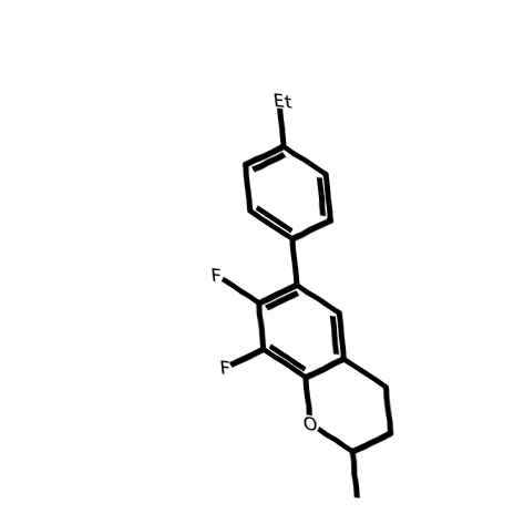 CCc1ccc(-c2cc3c(c(F)c2F)OC(C)CC3)cc1